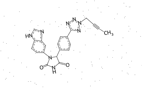 CC#CCn1nnc(-c2ccc(C3C(=O)NC(=O)N3c3ccc4[nH]cnc4c3)cc2)n1